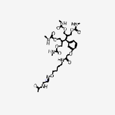 CNC(=O)OCC(COC(=O)NC)C(c1cccc(OCC(=O)NCCCCO/N=C/CNC(C)=O)c1)C(COC(=O)NC)COC(=O)NC